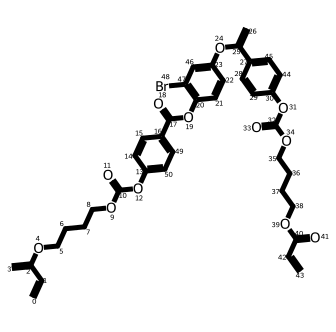 C=CC(=C)OCCCCOC(=O)Oc1ccc(C(=O)Oc2ccc(OC(=C)c3ccc(OC(=O)OCCCCOC(=O)C=C)cc3)cc2Br)cc1